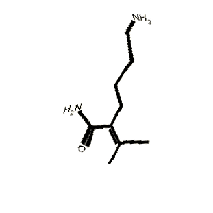 CC(C)=C(CCCCN)C(N)=O